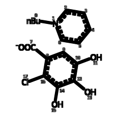 CCCC[n+]1ccccc1.O=C([O-])c1cc(O)c(O)c(O)c1Cl